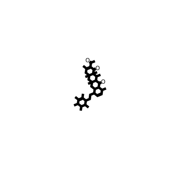 CC(=O)C1=C(C)CC2(C)CC3(C)CC4C(CCC5C(C)=C(C)C(C)C(C)C5C)C=CC(C)C4C(=O)C3C(C)C2(C)C1=O